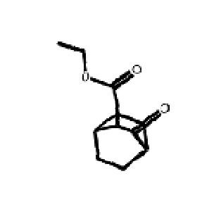 CCOC(=O)C1C(=O)C2CCC1CC2